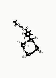 C=C(C)C(=O)OCCOC(=O)c1c(C)c(C)c(C2=C(C(C)(C)C)c3nc2nc2[nH]c(cc2C(C)(C)C)nc2nc(cc4[nH]c(cc4C(C)(C)C)n3)C=C2C(C)(C)C)c(F)c1F